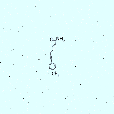 NC(=O)C=CCCC#Cc1ccc(C(F)(F)F)cc1